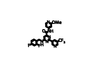 COc1cc(NC(=O)c2cc(NCc3ccc(F)cc3F)nc(-c3cncc(C(F)(F)F)c3)n2)ccn1